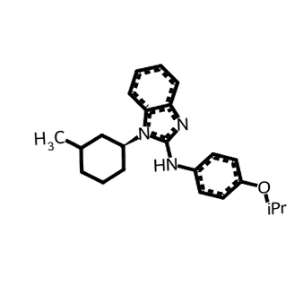 CC1CCC[C@H](n2c(Nc3ccc(OC(C)C)cc3)nc3ccccc32)C1